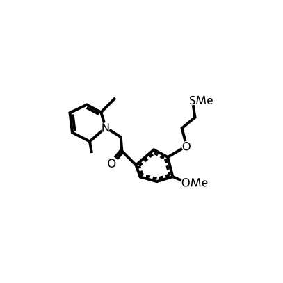 COc1ccc(C(=O)CN2C(C)=CC=CC2C)cc1OCCSC